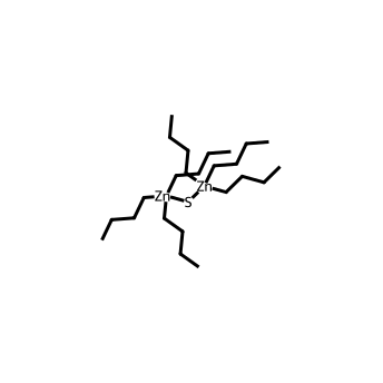 CCC[CH2][Zn]([CH2]CCC)([CH2]CCC)[S][Zn]([CH2]CCC)([CH2]CCC)[CH2]CCC